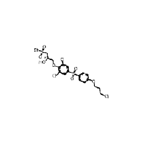 CCS(=O)(=O)C[C@H](O)COc1c(Cl)cc(S(=O)(=O)c2ccc(OCCCCl)cc2)cc1Cl